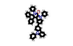 O=c1c2c(c(-c3ccccc3)c(-c3ccccc3)n1-c1ccccc1)c1cc(-c3ccc4c(c3)c3ccccc3n4-c3ccccc3)ccc1n2-c1ccccc1